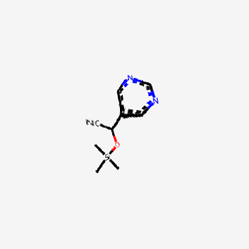 C[Si](C)(C)OC(C#N)c1cncnc1